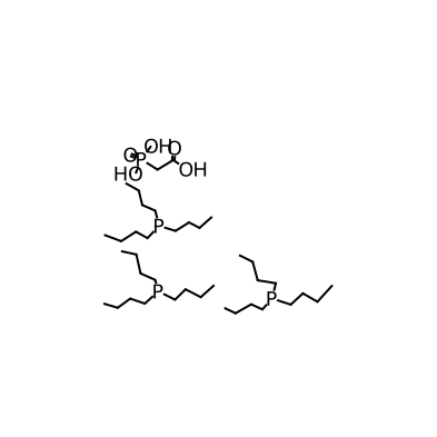 CCCCP(CCCC)CCCC.CCCCP(CCCC)CCCC.CCCCP(CCCC)CCCC.O=C(O)CP(=O)(O)O